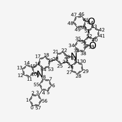 c1ccc(-c2cccc(-n3c4ccccc4c4ccc(-c5ccc6c(c5)c5ccccc5n6-c5ccc6c(c5)oc5ccc7oc8ccccc8c7c56)cc43)c2)cc1